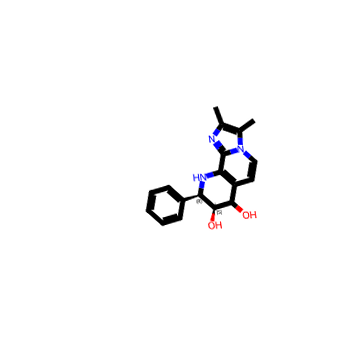 Cc1nc2c3c(ccn2c1C)C(O)[C@@H](O)[C@@H](c1ccccc1)N3